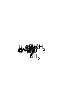 C=CCn1c(=O)c2c(nc(/C=C/c3ccccc3)n2C)n(CC=C)c1=O